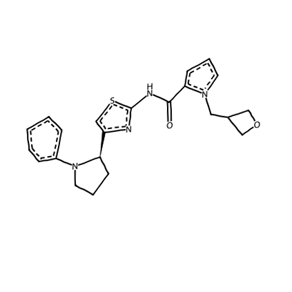 O=C(Nc1nc([C@H]2CCCN2c2ccccc2)cs1)c1cccn1CC1COC1